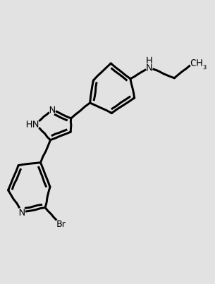 CCNc1ccc(-c2cc(-c3ccnc(Br)c3)[nH]n2)cc1